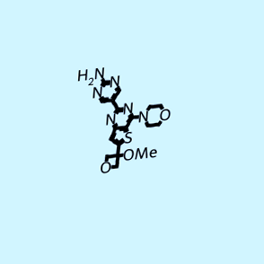 COC1(c2cc3nc(-c4cnc(N)nc4)nc(N4CCOCC4)c3s2)COC1